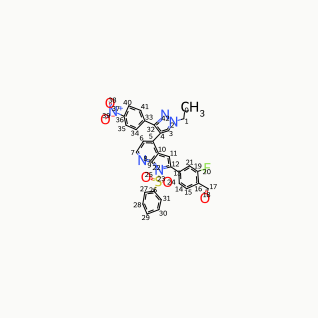 CCn1cc(-c2ccnc3c2cc(-c2ccc(C=O)c(F)c2)n3S(=O)(=O)c2ccccc2)c(-c2ccc([N+](=O)[O-])cc2)n1